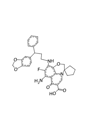 Nc1c(F)c(NCCC(c2ccccc2)c2ccc3c(c2)OCO3)c2c3c1c(=O)c(C(=O)O)cn3C1(CCCC1)CO2